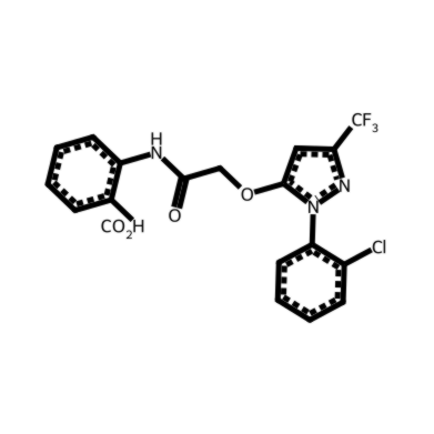 O=C(COc1cc(C(F)(F)F)nn1-c1ccccc1Cl)Nc1ccccc1C(=O)O